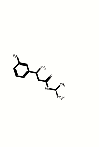 C[C@H](NC(=O)CC(N)c1cccc(C(F)(F)F)c1)C(=O)O